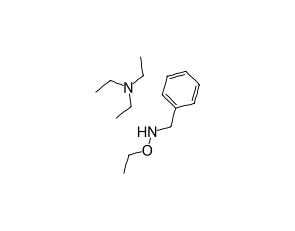 CCN(CC)CC.CCONCc1ccccc1